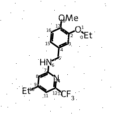 CCOc1cc(CNc2cc(CC)cc(C(F)(F)F)n2)ccc1OC